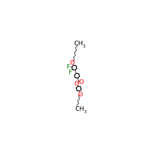 CCCCCCCCOc1ccc(-c2ccc(C(=O)Oc3ccc(OCCCCCC)cc3)cc2)c(F)c1F